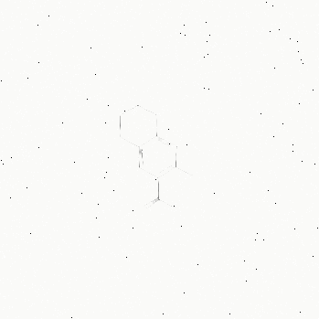 O=C(Cl)c1cc2c(nc1Cl)CCCC2